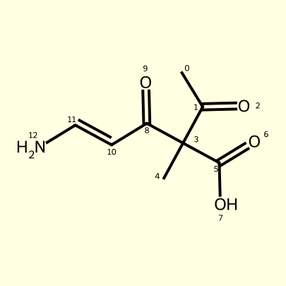 CC(=O)C(C)(C(=O)O)C(=O)C=CN